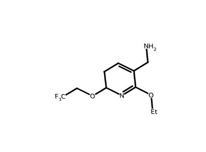 CCOC1=NC(OCC(F)(F)F)CC=C1CN